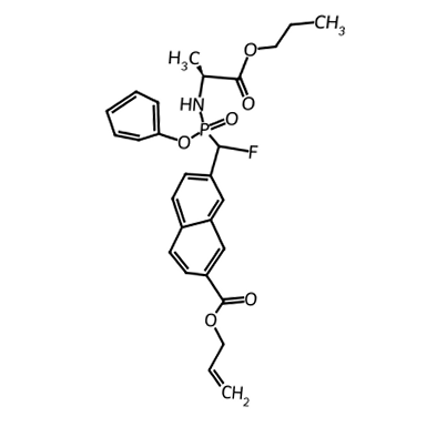 C=CCOC(=O)c1ccc2ccc(C(F)P(=O)(N[C@@H](C)C(=O)OCCC)Oc3ccccc3)cc2c1